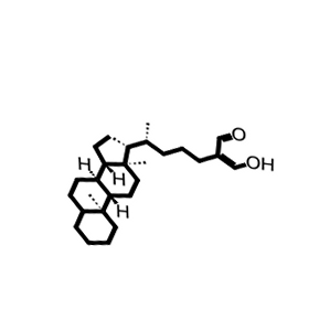 C[C@H](CCCC(C=O)=CO)[C@H]1CC[C@H]2[C@@H]3CCC4CCCC[C@]4(C)[C@H]3CC[C@]12C